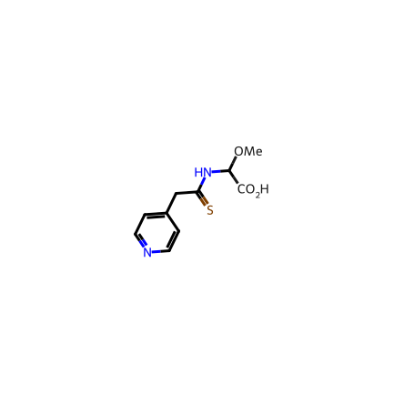 COC(NC(=S)Cc1ccncc1)C(=O)O